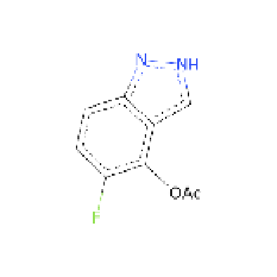 CC(=O)Oc1c(F)ccc2n[nH]cc12